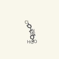 O=C(O)c1ccc2c(c1)sc1nc(-c3ccc(Cl)cc3)cn12